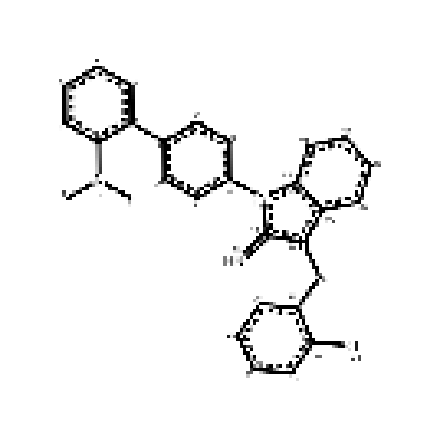 CN(C)c1ccccc1-c1ccc(-n2c(=N)n(Cc3ccccc3Cl)c3ccccc32)cc1